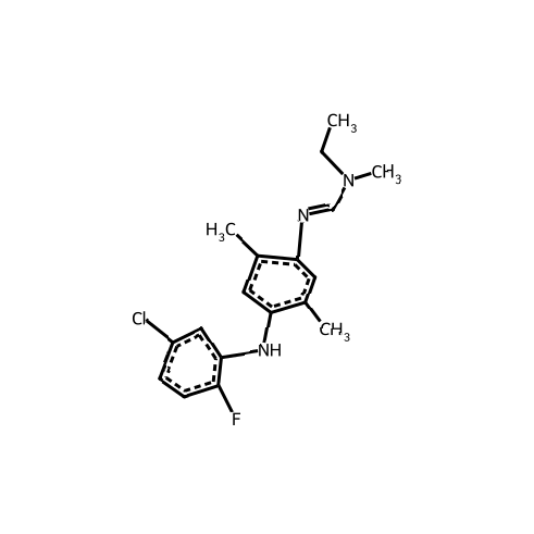 CCN(C)C=Nc1cc(C)c(Nc2cc(Cl)ccc2F)cc1C